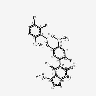 COc1ccc(F)c(F)c1COc1cc(-n2c(=O)[nH]c3csc(C(=O)O)c3c2=O)c(F)cc1[S+](C)[O-]